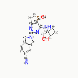 N#Cc1ccc2c(c1)CN(c1nc3c(c(NC4(CO)CCC4)n1)[S@+]([O-])CC3)C2